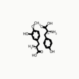 COc1ccc(C[C@H](N)C(=O)O)cc1O.N[C@@H](Cc1ccc(O)cc1)C(=O)O